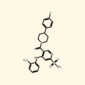 Cc1ccccc1Nc1cc(S(N)(=O)=O)ncc1C(=O)N1CCC(c2ccc(F)cc2)CC1